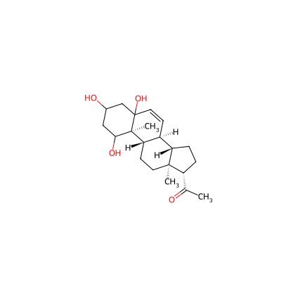 CC(=O)[C@H]1CC[C@H]2[C@@H]3C=CC4(O)CC(O)CC(O)[C@]4(C)[C@H]3CC[C@]12C